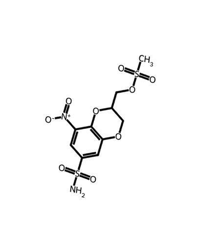 CS(=O)(=O)OCC1COc2cc(S(N)(=O)=O)cc([N+](=O)[O-])c2O1